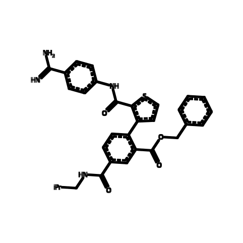 CC(C)CNC(=O)c1ccc(-c2ccsc2C(=O)Nc2ccc(C(=N)N)cc2)c(C(=O)OCc2ccccc2)c1